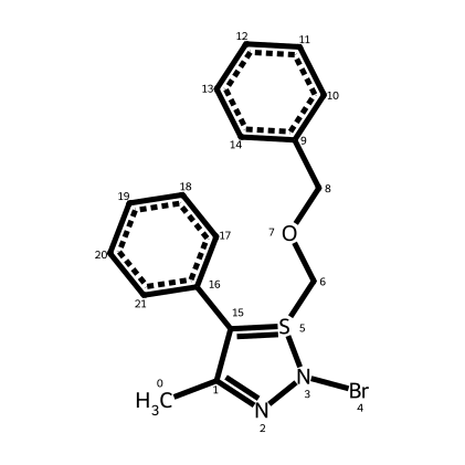 CC1=NN(Br)S(COCc2ccccc2)=C1c1ccccc1